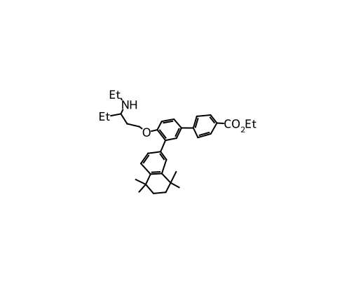 CCNC(CC)CCOc1ccc(-c2ccc(C(=O)OCC)cc2)cc1-c1ccc2c(c1)C(C)(C)CCC2(C)C